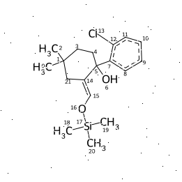 CC1(C)CCC(O)(c2ccccc2Cl)C(=CO[Si](C)(C)C)C1